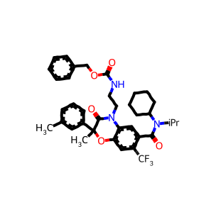 Cc1cccc(C2(C)Oc3cc(C(F)(F)F)c(C(=O)N(C(C)C)C4CCCCC4)cc3N(CCNC(=O)OCc3ccccc3)C2=O)c1